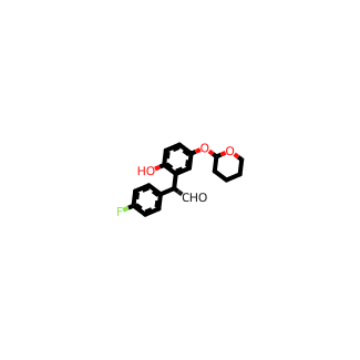 O=CC(c1ccc(F)cc1)c1cc(OC2CCCCO2)ccc1O